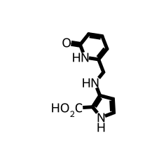 O=C(O)c1[nH]ccc1NCc1cccc(=O)[nH]1